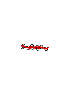 C=CC(=C)OCCCCCCOc1ccc(C(=O)Oc2ccc(CCOC(=O)c3ccc(OCCCCCCOC(=O)C=C)cc3)cc2)cc1